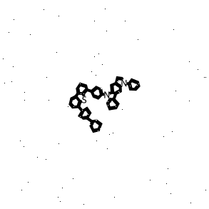 c1ccc(-c2ccc(-c3cccc4c3sc3c(-c5ccc(-n6c7ccccc7c7cc8c(ccn8-c8ccccc8)cc76)cc5)cccc34)cc2)cc1